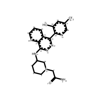 NC(=O)CN1CCCC(Nc2nnc(-c3ncc(C(F)(F)F)cc3O)c3cccnc23)C1